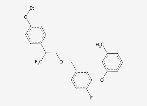 CCOc1ccc(C(COCc2ccc(F)c(Oc3cccc(C)c3)c2)C(F)(F)F)cc1